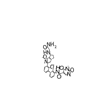 COc1nc(-c2cccc(-c3cccc(NC(=O)c4cn(C)c(=O)n(C)c4=O)c3C)c2Cl)cc2c1C(NCC(N)=O)CC2